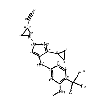 CNc1nc(Nc2cn([C@@H]3C[C@@H]3C#N)nc2C2CC2)ncc1C(F)(F)F